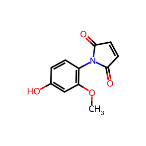 COc1cc(O)ccc1N1C(=O)C=CC1=O